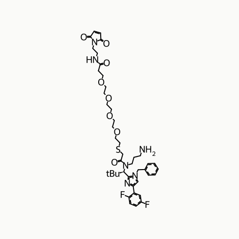 CC(C)(C)[C@H](c1nc(-c2cc(F)ccc2F)cn1Cc1ccccc1)N(CCCN)C(=O)CSCCOCCOCCOCCOCCC(=O)NCCN1C(=O)C=CC1=O